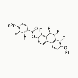 CCCc1ccc(C(=O)Oc2ccc3c(c2F)C(F)C(F)c2c-3ccc(OCC)c2F)c(F)c1F